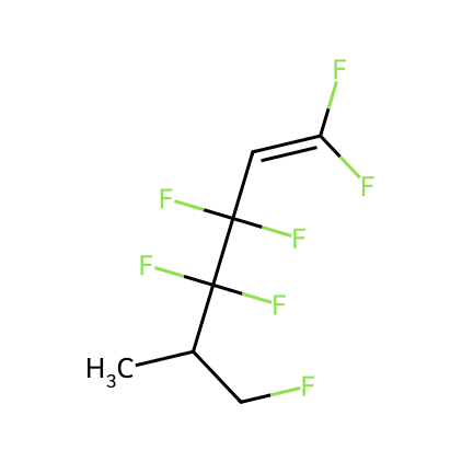 CC(CF)C(F)(F)C(F)(F)C=C(F)F